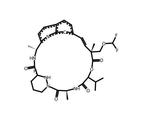 CC(C)C1OC(=O)[C@@](C)(COC(F)F)/C=C/c2ccc3ccc(nc3c2)[C@@H](C)NC(=O)[C@@H]2CCCN(N2)C(=O)[C@H](C)NC1=O